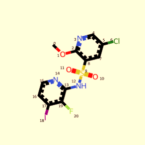 COc1ncc(Cl)cc1S(=O)(=O)Nc1nccc(I)c1F